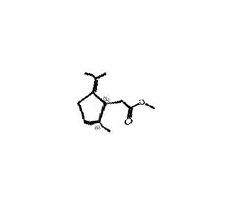 COC(=O)C[C@@H]1C(=C(C)C)CC[C@@H]1C